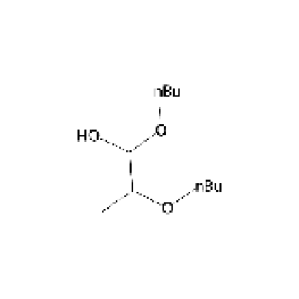 CCCCOC(C)C(O)OCCCC